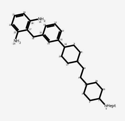 CCCCCCCC1CCC(CCC2CCC(c3cccc(Cc4c(N)cccc4N)c3)CC2)CC1